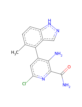 Cc1ccc2[nH]ncc2c1-c1cc(Cl)nc(C(N)=O)c1N